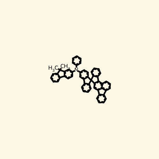 CC1(C)c2ccccc2-c2ccc(N(c3ccccc3)c3ccc4c(c3)-c3ccccc3C43c4ccccc4-c4c3cc3c5c(cccc45)-c4ccccc4-3)cc21